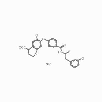 O=C(NC(F)Cc1cccc(Cl)c1)c1ccc(Oc2cc3c(cc2Cl)C(C(=O)[O-])CCO3)cc1.[Na+]